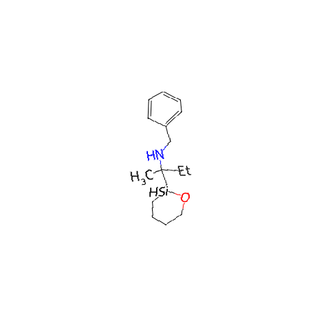 CCC(C)(NCc1ccccc1)[SiH]1CCCCO1